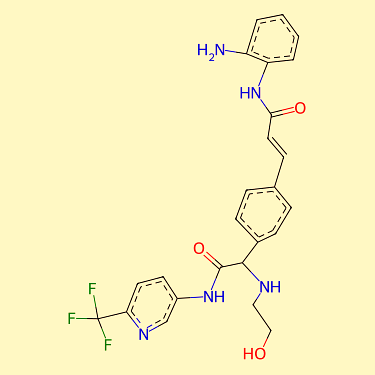 Nc1ccccc1NC(=O)C=Cc1ccc(C(NCCO)C(=O)Nc2ccc(C(F)(F)F)nc2)cc1